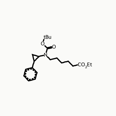 CCOC(=O)CCCCCN(C(=O)OC(C)(C)C)C1CC1c1ccccc1